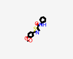 O=C(Nc1ccccc1)c1cnc(-c2ccc3c(c2)OCO3)s1